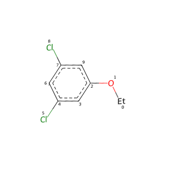 CCOc1cc(Cl)[c]c(Cl)c1